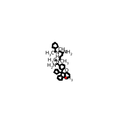 C=C(NC(C)C1=CC=CCC1)/C(N)=C\C=C(/C)N(C)C(N)c1ccc2c(c1)C(C1=C=CCC1)(c1ccccc1C)c1ccccc1O2